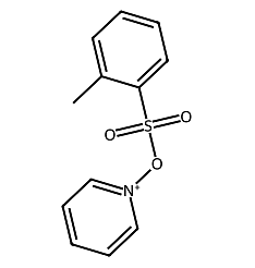 Cc1ccccc1S(=O)(=O)O[n+]1ccccc1